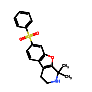 CC1(C)NCCc2c1oc1cc(S(=O)(=O)c3ccccc3)ccc21